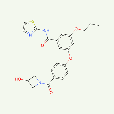 CCCOc1cc(Oc2ccc(C(=O)N3CC(O)C3)cc2)cc(C(=O)Nc2nccs2)c1